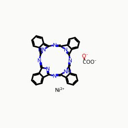 O=C([O-])[O-].[Ni+2].c1ccc2c(c1)-c1nc-2nc2[nH]c(nc3nc(nc4[nH]c(n1)c1ccccc41)-c1ccccc1-3)c1ccccc21